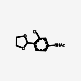 CC(=O)Nc1ccc(C2OCCO2)c(Cl)c1